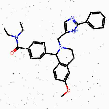 CCN(CC)C(=O)c1ccc(C2c3c[c]c(OC)cc3CCN2Cc2cnc(-c3ccccc3)[nH]2)cc1